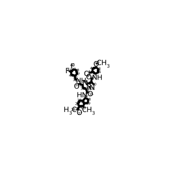 COc1ccc(NC(=O)c2cnn3c(C(=O)N[C@H]4CCc5c4ccc(C(C)=O)c5C)cc(C(=O)NCc4ccc(F)c(F)c4)nc23)c(Cl)c1